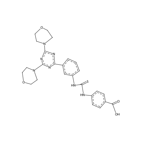 O=C(O)c1ccc(NC(=S)Nc2cccc(-c3nc(N4CCOCC4)nc(N4CCOCC4)n3)c2)cc1